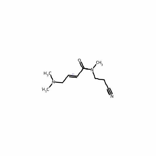 CN(C)C/C=C/C(=O)N(C)CCC#N